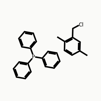 Cc1ccc(C)c(CCl)c1.c1ccc(P(c2ccccc2)c2ccccc2)cc1